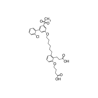 CS(=O)(=O)c1cc(OCCCCCCc2cccc(OCCCC(=O)O)c2CCC(=O)O)cc(-c2ccccc2Cl)c1